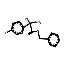 CC(O)(C(=O)OCc1ccccc1)c1ccc(F)cc1